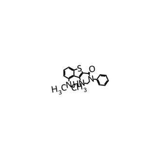 CN(C)c1cccc2sc3c(c12)NCN(c1ccccc1)C3=O